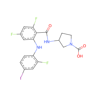 O=C(NC1CCN(C(=O)O)C1)c1c(F)cc(F)cc1Nc1ccc(I)cc1F